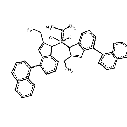 CCC1=Cc2c(-c3cccc4ccccc34)cccc2[CH]1[Ti]([Cl])([Cl])([CH]1C(CC)=Cc2c(-c3cccc4ccccc34)cccc21)=[Si](C)C